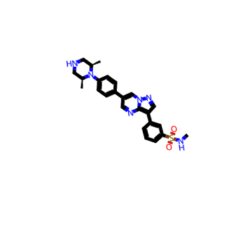 CNS(=O)(=O)c1cccc(-c2cnn3cc(-c4ccc(N5[C@H](C)CNC[C@@H]5C)cc4)cnc23)c1